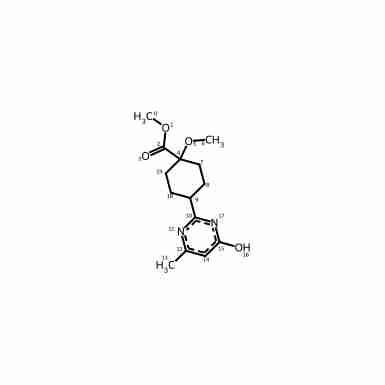 COC(=O)C1(OC)CCC(c2nc(C)cc(O)n2)CC1